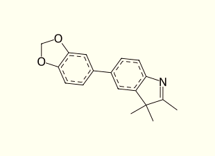 CC1=Nc2ccc(-c3ccc4c(c3)OCO4)cc2C1(C)C